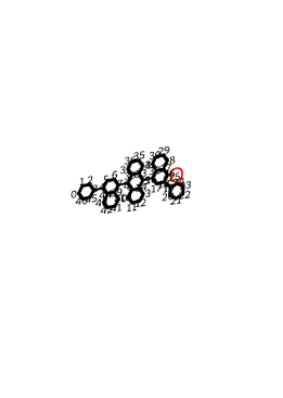 c1ccc(-c2ccc(-c3c4ccccc4c(-c4cc5c6ccccc6oc5c5ccccc45)c4ccccc34)c3ccccc23)cc1